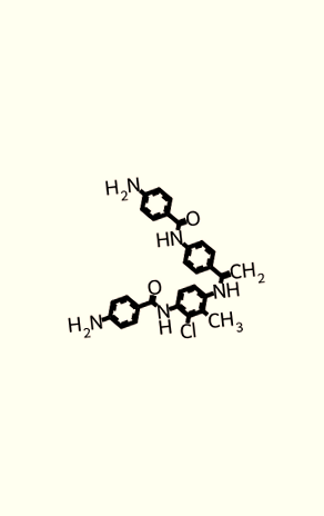 C=C(Nc1ccc(NC(=O)c2ccc(N)cc2)c(Cl)c1C)c1ccc(NC(=O)c2ccc(N)cc2)cc1